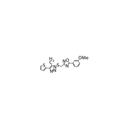 COc1cccc(-c2nc(CSn3nnc(-c4cccs4)c3C)no2)c1